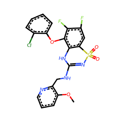 COc1cccnc1CNC1=NS(=O)(=O)c2cc(F)c(F)c(Oc3ccccc3Cl)c2N1